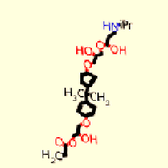 C=CC(=O)OCC(O)COc1ccc(C(C)(C)c2ccc(OCC(O)COC(O)CCNC(C)C)cc2)cc1